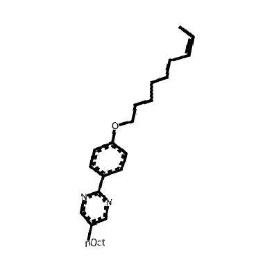 C/C=C\CCCCCCOc1ccc(-c2ncc(CCCCCCCC)cn2)cc1